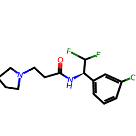 O=C(CCN1CCCC1)N[C@H](c1cccc(Cl)c1)C(F)F